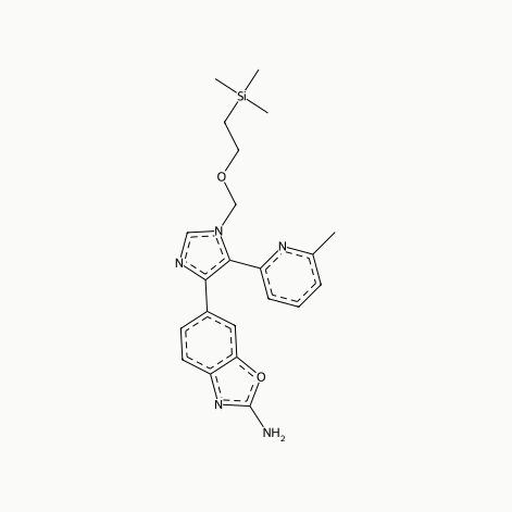 Cc1cccc(-c2c(-c3ccc4nc(N)oc4c3)ncn2COCC[Si](C)(C)C)n1